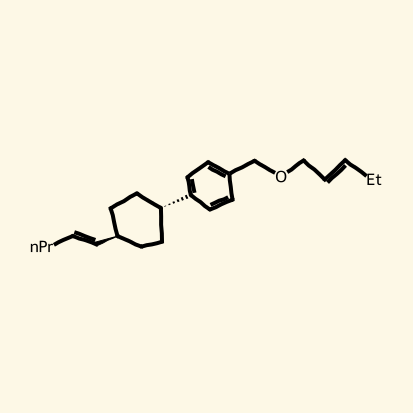 CC/C=C/COCc1ccc([C@H]2CC[C@H](/C=C/CCC)CC2)cc1